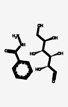 NNC(=O)c1ccccc1.O=C[C@H](O)[C@@H](O)[C@H](O)[C@H](O)CO